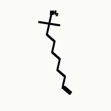 C=CCCCCCCC(C)(C)N